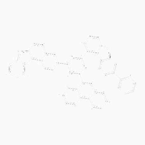 c1ccc(-c2ccc3c(c2)oc2cccc(-c4nc(-c5ccc6c(ccc7oc8ccccc8c76)c5)nc(-c5cc6ccccc6c6ccccc56)n4)c23)cc1